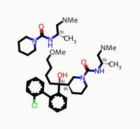 CNC[C@H](C)NC(=O)N1CCCCC1.CNC[C@H](C)NC(=O)N1CCC[C@@H]([C@@](O)(CCCCOC)c2ccccc2-c2ccccc2Cl)C1